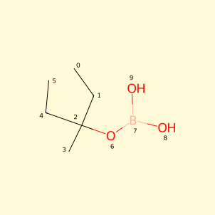 CCC(C)(CC)OB(O)O